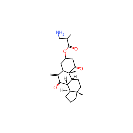 C=C1C(=O)[C@@H]2[C@@H](CC[C@]3(C)CCC[C@@H]23)[C@@]2(C)C(=O)CC(OC(=O)C(C)CN)CC12